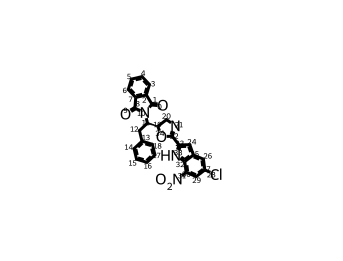 O=C1c2ccccc2C(=O)N1C(Cc1ccccc1)[C@H]1CN=C(c2cc3cc(Cl)cc([N+](=O)[O-])c3[nH]2)O1